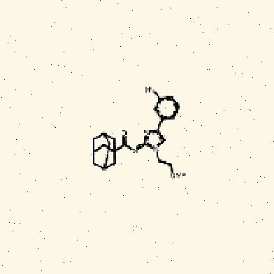 COCCn1cc(-c2cccc(C#N)c2)sc1=NC(=O)C12CC3CC(CC(C3)C1)C2